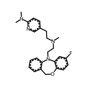 CN(CCc1ccc(N(C)C)nc1)CCN1c2ccccc2COc2ccc(F)cc21